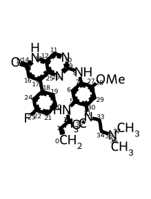 C=CC(=O)Nc1cc(Nc2ncc3[nH]c(=O)cc(-c4cccc(F)c4)c3n2)c(OC)cc1N(C)CCN(C)C